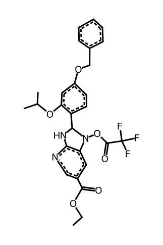 CCOC(=O)c1cnc2c(c1)N(OC(=O)C(F)(F)F)C(c1ccc(OCc3ccccc3)cc1OC(C)C)N2